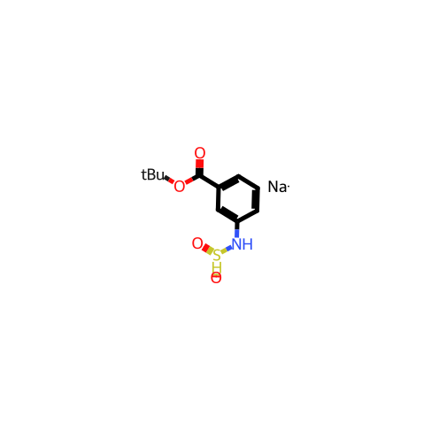 CC(C)(C)OC(=O)c1cccc(N[SH](=O)=O)c1.[Na]